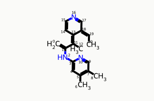 C=C(Nc1cc(C)c(C)cn1)/C(C)=c1\ccnc\c1=C\C